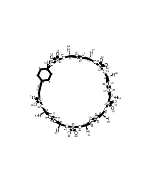 O=S1(=O)C[C@H]2CC[C@H](CC2)CS(=O)(=O)C[C@H]2CC[C@H](CC2)CS(=O)(=O)C[C@H]2CC[C@H](CC2)S(=O)(=O)C[C@@H]2CC[C@@H](CC2)CS(=O)(=O)C[C@@H]2CC[C@@H](CC2)C1